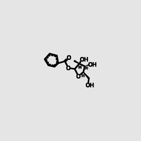 C[C@]1(O)C(OC(=O)c2ccccc2)O[C@H](CO)[C@H]1O